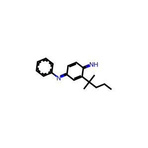 CCCC(C)(C)C1=CC(=Nc2ccccc2)C=CC1=N